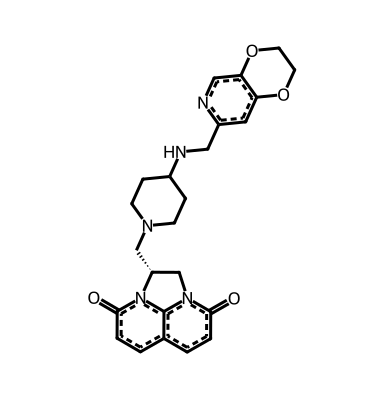 O=c1ccc2ccc(=O)n3c2n1C[C@H]3CN1CCC(NCc2cc3c(cn2)OCCO3)CC1